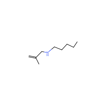 C=C(C)CNCCCCC